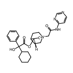 O=C(C[N+]12CCC(CC1)[C@@H](OC(=O)C(O)(c1ccccc1)C1CCCCC1)C2)Nc1ccncn1